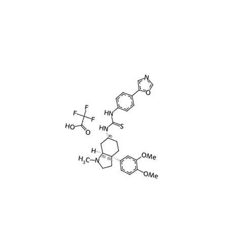 COc1ccc([C@@]23CC[C@@H](NC(=S)Nc4ccc(-c5cnco5)cc4)C[C@@H]2N(C)CC3)cc1OC.O=C(O)C(F)(F)F